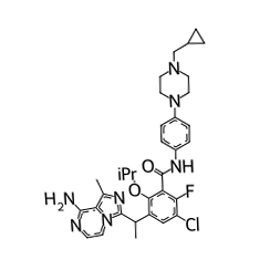 Cc1nc(C(C)c2cc(Cl)c(F)c(C(=O)Nc3ccc(N4CCN(CC5CC5)CC4)cc3)c2OC(C)C)n2ccnc(N)c12